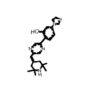 CC1(C)CC(=Cc2cnc(-c3ccc(-n4ccnc4)cc3O)cn2)CC(C)(C)N1